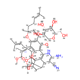 COC(=O)/C(C)=C\CC12OC(C)(C)C3CC(C1=O)C1C(C#N)=C(N)NC4=C1C32Oc1c(CC=C(C)C)c2c(c(O[C@H]3O[C@@H](CO)[C@H](O)[C@@H](O)[C@@H]3O)c14)C=CC(C)(CCC=C(C)C)O2